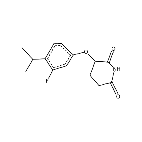 CC(C)c1ccc(OC2CCC(=O)NC2=O)cc1F